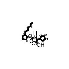 C=CCCCC1CCCC1OC(=O)NC(C(=O)O)C1CCCC1